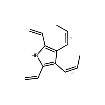 C=CC1=C(/C=C\C)C(/C=C\C)=C(C=C)B1